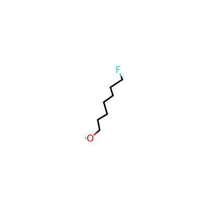 [O]CCCCCCCF